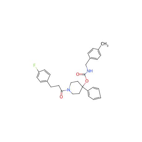 Cc1ccc(CNC(=O)OC2(c3ccccc3)CCN(C(=O)CCc3ccc(F)cc3)CC2)cc1